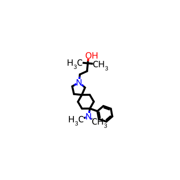 CN(C)C1(c2ccccc2)CCC2(CCN(CCC(C)(C)O)C2)CC1